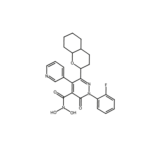 O=C(c1c(-c2cccnc2)c(C2CCC3CCCCC3O2)nn(-c2ccccc2F)c1=O)N(O)O